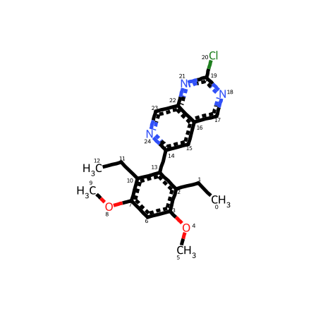 CCc1c(OC)cc(OC)c(CC)c1-c1cc2cnc(Cl)nc2cn1